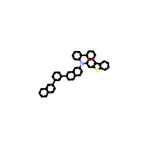 c1ccc(-c2ccccc2N(c2ccc3ccc(-c4cccc(-c5ccc6ccccc6c5)c4)cc3c2)c2ccc3c(c2)sc2ccccc23)cc1